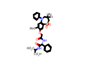 CCCCC1(CC)CN(c2ccccc2)c2cc(SC)c(OCC(=O)N[C@@H](C(=O)NC(C(=O)O)C(=O)O)c3ccccc3)cc2S(=O)(=O)C1